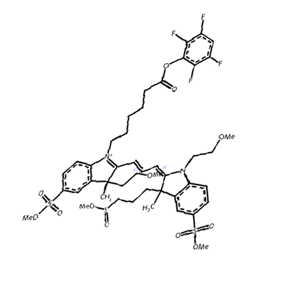 COCCN1/C(=C/C=C/C2=[N+](CCCCCC(=O)Oc3c(F)c(F)cc(F)c3F)c3ccc(S(=O)(=O)OC)cc3C2(C)CCOC)C(C)(CCCS(=O)OC)c2cc(S(=O)(=O)OC)ccc21